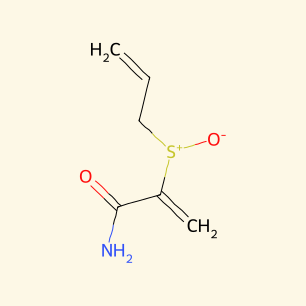 C=CC[S+]([O-])C(=C)C(N)=O